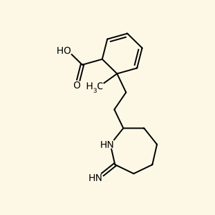 CC1(CCC2CCCCC(=N)N2)C=CC=CC1C(=O)O